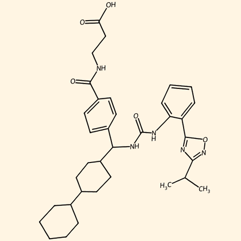 CC(C)c1noc(-c2ccccc2NC(=O)NC(c2ccc(C(=O)NCCC(=O)O)cc2)C2CCC(C3CCCCC3)CC2)n1